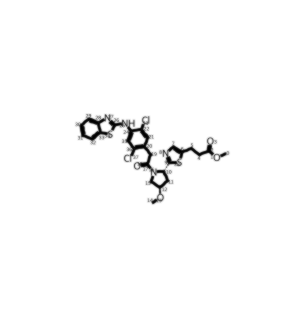 COC(=O)CCc1cnc([C@@H]2C[C@@H](OC)CN2C(=O)Cc2cc(Cl)c(Nc3nc4ccccc4s3)cc2Cl)s1